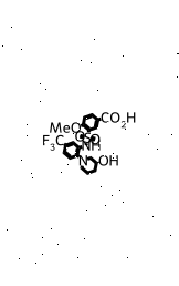 COc1ccc(C(=O)O)cc1S(=O)(=O)Nc1cc(C(F)(F)F)ccc1N1CCC[C@@H](O)C1